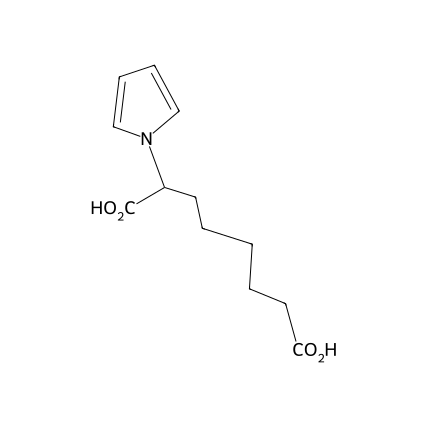 O=C(O)CCCCCC(C(=O)O)n1cccc1